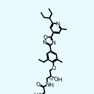 CCc1cc(-c2noc(-c3cc(C)nc(C(CC)CC)c3)n2)cc(C)c1OC[C@@H](O)CNC(=O)CO